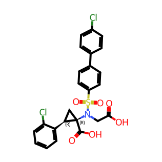 O=C(O)CN([C@]1(C(=O)O)C[C@@H]1c1ccccc1Cl)S(=O)(=O)c1ccc(-c2ccc(Cl)cc2)cc1